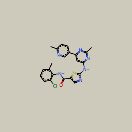 Cc1ccc(-c2cc(Nc3ncc(C(=O)Nc4c(C)cccc4Cl)s3)nc(C)n2)cn1